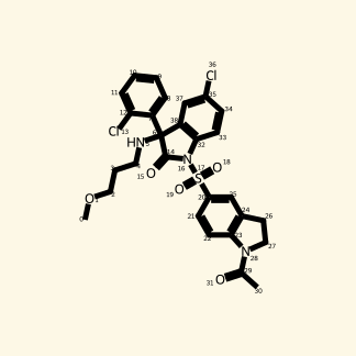 COCCCNC1(c2ccccc2Cl)C(=O)N(S(=O)(=O)c2ccc3c(c2)CCN3C(C)=O)c2ccc(Cl)cc21